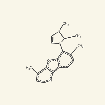 Cc1ccc2c(oc3c(C)ccnc32)c1N1C=CN(C)C1C